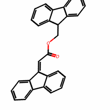 O=C(C=C1c2ccccc2-c2ccccc21)OCC1c2ccccc2-c2ccccc21